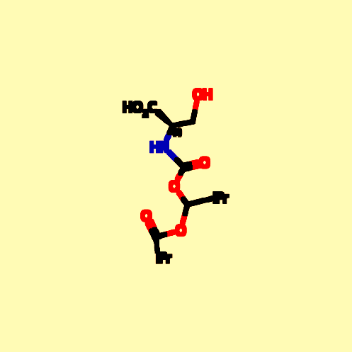 CC(C)C(=O)OC(OC(=O)N[C@H](CO)C(=O)O)C(C)C